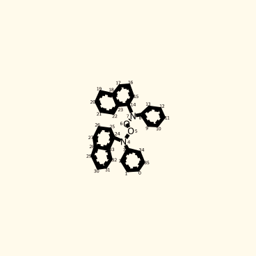 c1ccc(N(OON(c2ccccc2)c2cccc3ccccc23)c2cccc3ccccc23)cc1